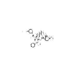 [N-]=[N+]=N[C@]1(C(F)OC(=O)c2cccc(Cl)c2)O[C@@H](n2ccc(=O)[nH]c2=O)C[C@@H]1OC(=O)c1ccccc1